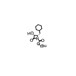 CC(C)(C)OC(=O)N1C(=O)[C@H](O)[C@@H]1CC1CCCCC1